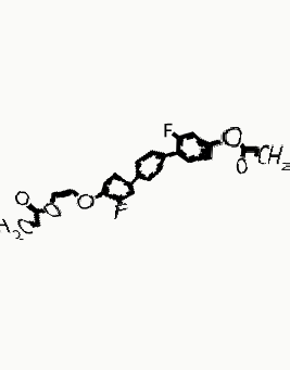 C=CC(=O)O/C=C\Oc1ccc(-c2ccc(-c3ccc(OC(=O)C=C)cc3F)cc2)cc1F